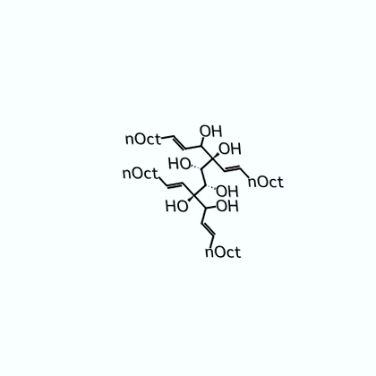 CCCCCCCCC=CC(O)[C@](O)(C=CCCCCCCCC)[C@@H](O)[C@H](O)[C@@](O)(C=CCCCCCCCC)C(O)C=CCCCCCCCC